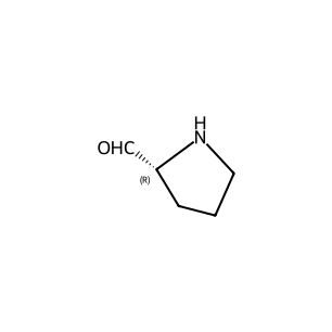 O=C[C@H]1CCCN1